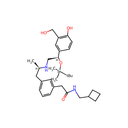 C[C@H](Cc1cccc(CC(=O)NCC2CCC2)c1)NC[C@H](O[Si](C)(C)C(C)(C)C)c1ccc(O)c(CO)c1